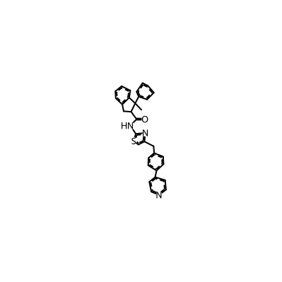 CC1(c2ccccc2)c2ccccc2CC1C(=O)Nc1nc(Cc2ccc(-c3ccncc3)cc2)cs1